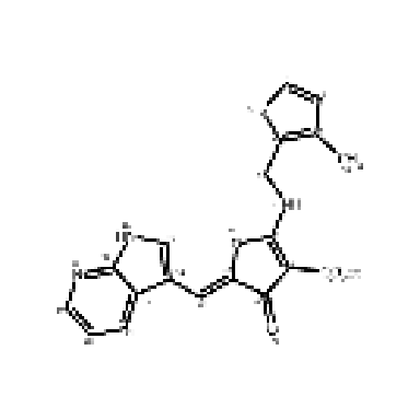 CCOC(=O)C1=C(NCc2sccc2C)OC(=Cc2c[nH]c3ncccc23)C1=O